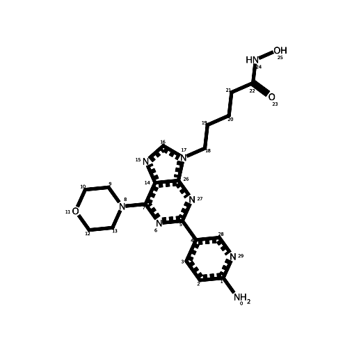 Nc1ccc(-c2nc(N3CCOCC3)c3ncn(CCCCC(=O)NO)c3n2)cn1